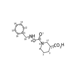 O=C(O)C1CCCN(C(=O)ONCc2ccccc2)C1